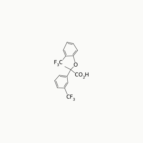 CC(Oc1ccccc1C(F)(F)F)(C(=O)O)c1cccc(C(F)(F)F)c1